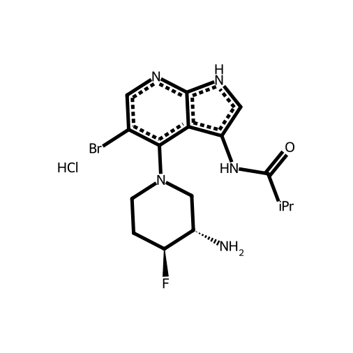 CC(C)C(=O)Nc1c[nH]c2ncc(Br)c(N3CC[C@H](F)[C@@H](N)C3)c12.Cl